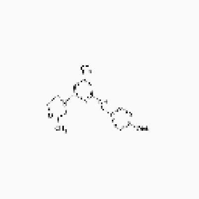 COc1ccc(CNc2cc(C(F)(F)F)cc(N3CCOC(C)C3)n2)cc1